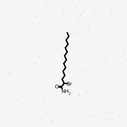 CCCCCCCCCCCCCC(Br)C(N)=O